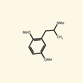 CNC(C)Cc1cc(OC)ccc1OC